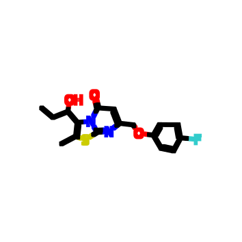 CCC(O)c1c(C)sc2nc(COc3ccc(F)cc3)cc(=O)n12